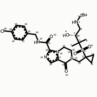 CC(C)(C)NC[C@@H](O)C(C)(C)S(=O)(=O)C1(CN2CCn3c(cnc3C(=O)NCc3ccc(Cl)cc3)C2=O)CC1